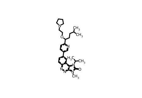 CC(C)CCC(OCCN1CCCC1)c1ccc(-c2ccc3nnc4c(c3c2)n(C(C)C)c(=O)n4C)cn1